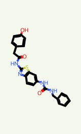 O=C(Cc1ccc(O)cc1)Nc1nc2ccc(NC(=O)NCc3ccccc3)cc2s1